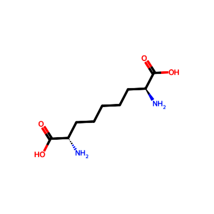 N[C@@H](CCCCC[C@H](N)C(=O)O)C(=O)O